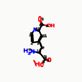 NC(Cc1ccnc(C(=O)O)c1)C(=O)O